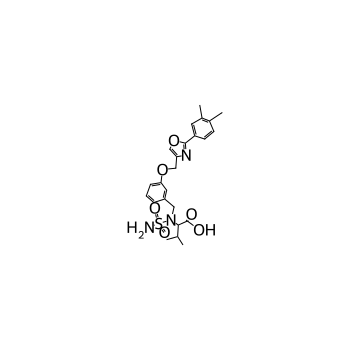 Cc1ccc(-c2nc(COc3cccc(CN(C(C(=O)O)C(C)C)S(N)(=O)=O)c3)co2)cc1C